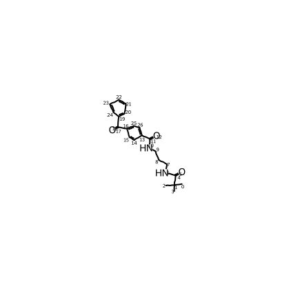 CC(C)(C)C(=O)NCCCNC(=O)c1ccc(C(=O)c2ccccc2)cc1